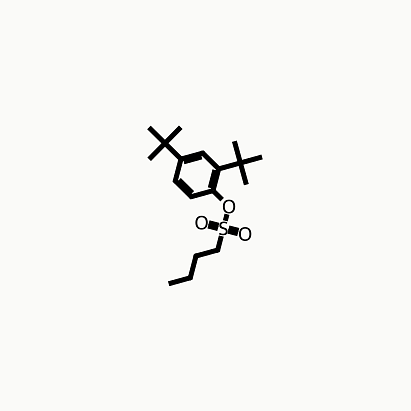 CCCCS(=O)(=O)Oc1ccc(C(C)(C)C)cc1C(C)(C)C